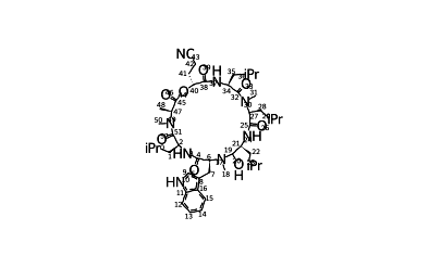 CC(C)C[C@@H]1NC(=O)[C@H](Cc2c[nH]c3ccccc23)N(C)C(O)[C@H](CC(C)C)NC(=O)[C@H](CC(C)C)N(C)C(=O)[C@H](CC(C)C)NC(=O)[C@@H](CCC#N)OC(=O)[C@H](C)N(C)C1=O